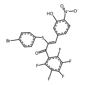 O=C(C(=Cc1ccc([N+](=O)[O-])c(O)c1)Sc1ccc(Br)cc1)c1c(F)c(F)c(F)c(F)c1F